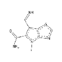 Cn1c(C(N)=O)c(C=N)c2scnc21